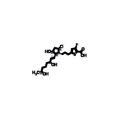 C[C@@H](O)CCC[C@H](O)/C=C/[C@@H]1[C@@H](CCCc2cc(F)c(C(=O)O)s2)[C@H](Cl)C[C@H]1O